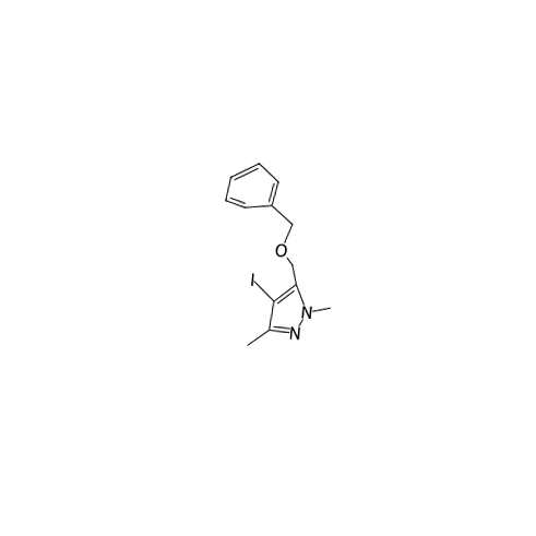 Cc1nn(C)c(COCc2ccccc2)c1I